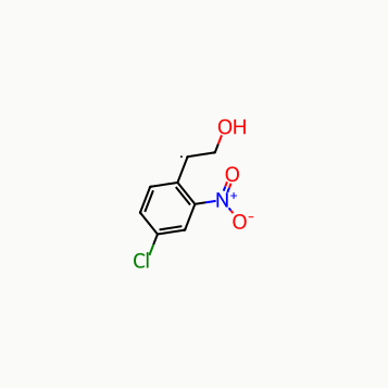 O=[N+]([O-])c1cc(Cl)ccc1[CH]CO